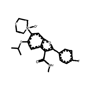 CNC(=O)c1c(-c2ccc(F)cc2)oc2cc([N+]3([O-])CCSCC3)c(OC(C)C)cc12